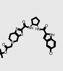 CC(C)(C)OC(=O)CN1CCc2nc(C(=O)N[C@H]3CCC[C@@H]3NC(=O)c3cc4cc(Cl)ccc4[nH]3)sc2C1